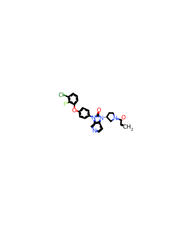 C=CC(=O)N1CC[C@@H](n2c(=O)n(-c3ccc(Oc4cccc(Cl)c4F)cc3)c3cnccc32)C1